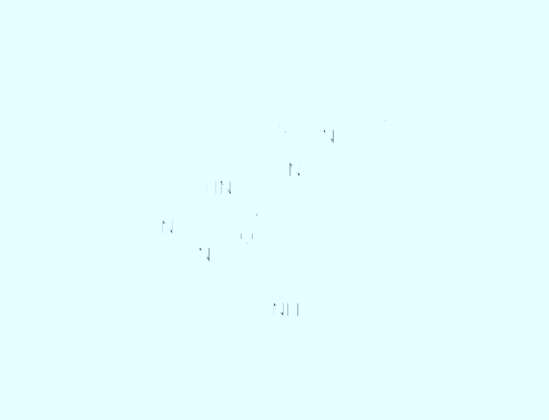 O=C(Nc1cncnc1OC1CCNCC1)c1csc(N2CCOCC2)n1